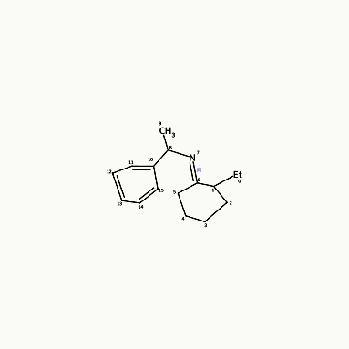 CCC1CCCC/C1=N\C(C)c1ccccc1